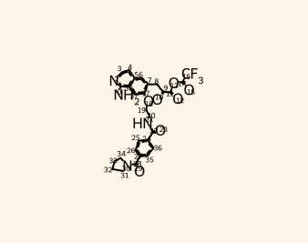 Nc1nccc2cc(CC(=O)C(=O)OC(=O)C(F)(F)F)c(OCCNC(=O)c3ccc(C(=O)N4CCCC4)cc3)cc12